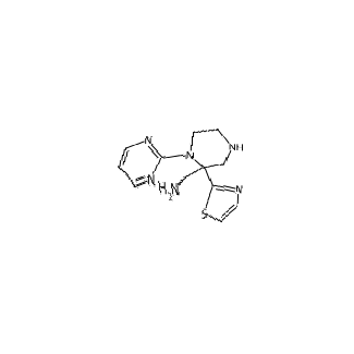 NC1(c2nccs2)CNCCN1c1ncccn1